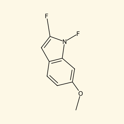 COc1ccc2cc(F)n(F)c2c1